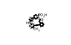 COC(=O)Cc1ccccc1C#Cc1nc(Nc2cnn(C3CCN(C(=O)O)CC3)c2)ncc1C